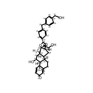 C[C@]12C=CC(=O)C=C1CC[C@@H]1[C@@H]2[C@@H](O)C[C@@]2(C)[C@H]1C[C@H]1O[C@H](c3ccc(Cc4ccc(CO)cc4)cc3)O[C@]12C(=O)CO